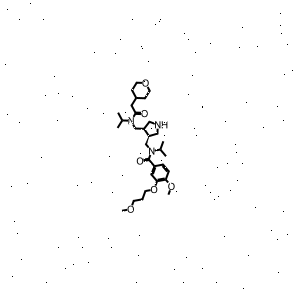 COCCCOc1cc(C(=O)N(C[C@@H]2CNCC2CN(C(=O)CC2CCOCC2)C(C)C)C(C)C)ccc1OC